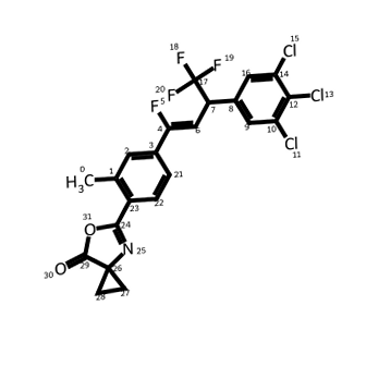 Cc1cc(/C(F)=C/C(c2cc(Cl)c(Cl)c(Cl)c2)C(F)(F)F)ccc1C1=NC2(CC2)C(=O)O1